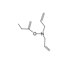 C=CCN(CC=C)OC(=C)CC